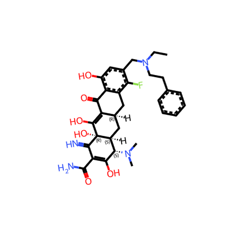 CCN(CCc1ccccc1)Cc1cc(O)c2c(c1F)C[C@H]1C[C@H]3[C@H](N(C)C)C(O)=C(C(N)=O)C(=N)[C@@]3(O)C(O)=C1C2=O